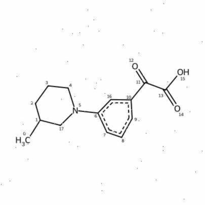 CC1CCCN(c2cccc(C(=O)C(=O)O)c2)C1